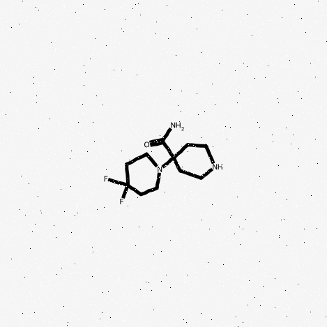 NC(=O)C1(N2CCC(F)(F)CC2)CCNCC1